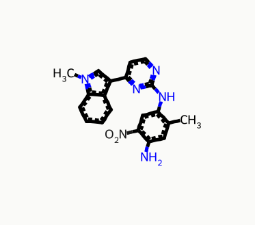 Cc1cc(N)c([N+](=O)[O-])cc1Nc1nccc(-c2cn(C)c3ccccc23)n1